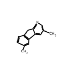 Cc1ccc2c(c1)-c1cc(C)cnc1C2